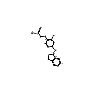 Cc1cc(O[C@@H]2CCc3ccccc32)ccc1CCC(=O)O